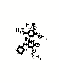 CCOc1cn(Cc2ccccc2)c(Nc2cc(OC)c(OC)cc2CC)nc1=O